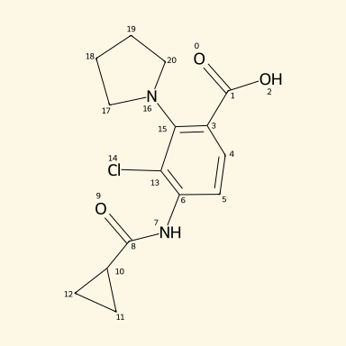 O=C(O)c1ccc(NC(=O)C2CC2)c(Cl)c1N1CCCC1